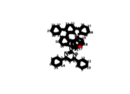 c1ccc(-c2cc(-c3ccccc3)nc(-n3c4ccccc4c4c(-c5c(-c6ccccc6)ccc6c7ccccc7n(-c7ccccc7)c56)cccc43)n2)cc1